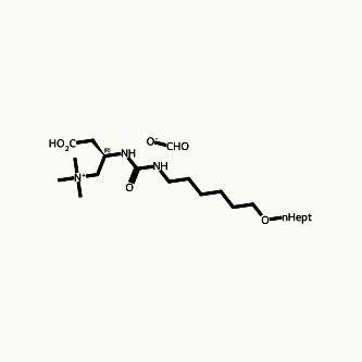 CCCCCCCOCCCCCCNC(=O)N[C@H](CC(=O)O)C[N+](C)(C)C.O=C[O-]